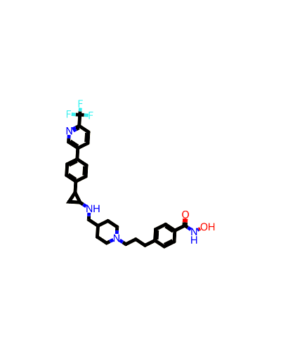 O=C(NO)c1ccc(CCCN2CCC(CNC3CC3c3ccc(-c4ccc(C(F)(F)F)nc4)cc3)CC2)cc1